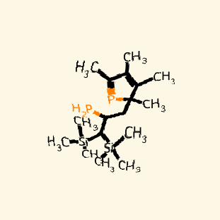 CC1=PC(C)(CC(P)C([Si](C)(C)C)[Si](C)(C)C)C(C)=C1C